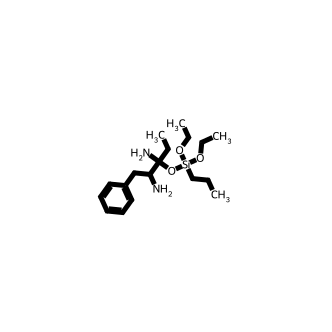 CCC[Si](OCC)(OCC)OC(N)(CC)C(N)Cc1ccccc1